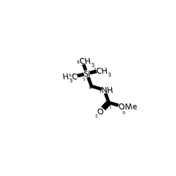 COC(=O)NC[Si](C)(C)C